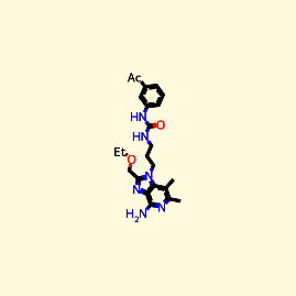 CCOCc1nc2c(N)nc(C)c(C)c2n1CCCNC(=O)Nc1cccc(C(C)=O)c1